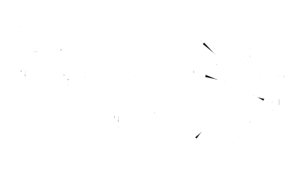 CC[C@H]1[C@H](/C=C/c2ccc(-n3cnc(C)c3)cn2)[C@@H]2[C@@H](C)OC(=O)[C@]2(O)C[C@@H]1C